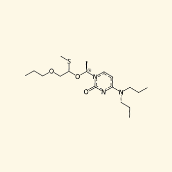 CCCOCC(O[C@@H](C)n1ccc(N(CCC)CCC)nc1=O)SC